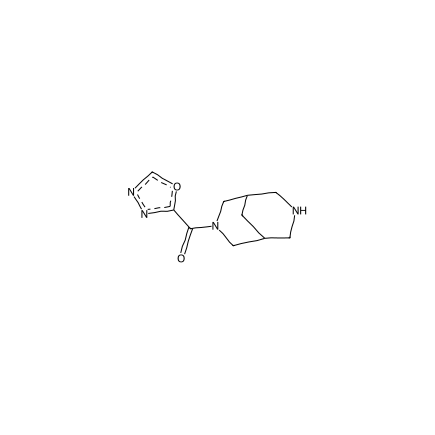 O=C(c1nnco1)N1CC2CNCC(C2)C1